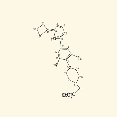 CCOC(=O)CC1CCN(c2c(F)cc(C3=CC=CC(=C4CCC4)N3)cc2F)CC1